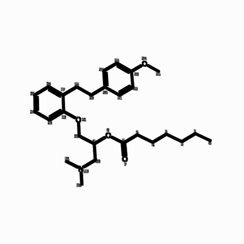 CCCCCCC(=O)OC(COc1ccccc1CCc1ccc(OC)cc1)CN(C)C